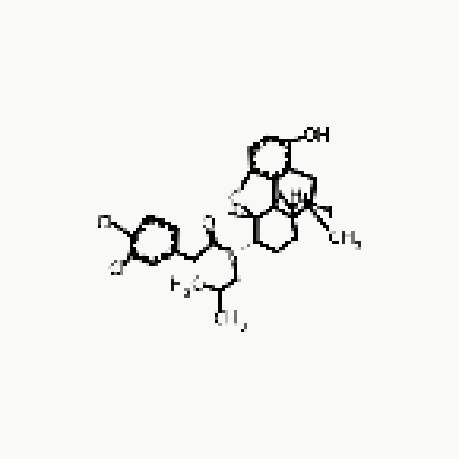 CC(C)CN(C(=O)Cc1ccc(Cl)c(Cl)c1)[C@H]1CC[C@H]2[C@H]3Cc4c(O)ccc5c4[C@@]2(CCN3C)[C@H]1O5